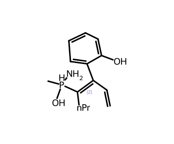 C=C/C(=C(\CCC)[PH](C)(N)O)c1ccccc1O